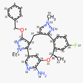 CCn1nc(OCc2ccccc2)c2c1-c1cnc(N)c(c1)O[C@H](C)c1cc(F)ccc1-c1nn(C)cc1C2